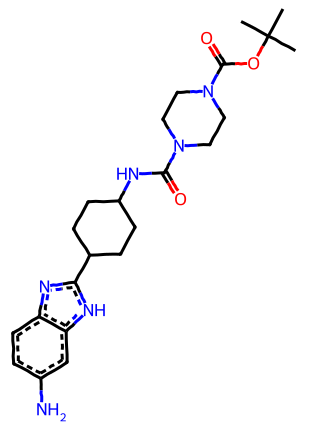 CC(C)(C)OC(=O)N1CCN(C(=O)NC2CCC(c3nc4ccc(N)cc4[nH]3)CC2)CC1